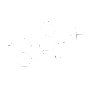 CC[C@H](NC(=O)OC(C)(C)C)C(=O)N(C(=O)c1c(F)cccc1N=O)c1ccccc1